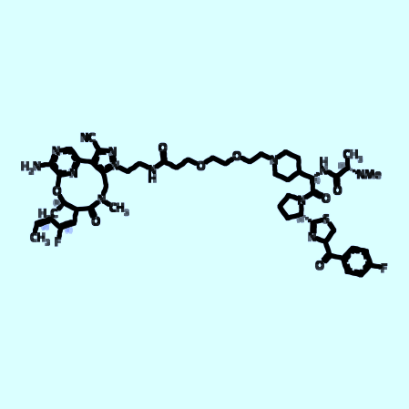 C/C=C\C(F)=C/C1C(=O)N(C)Cc2c(c(C#N)nn2CCNC(=O)CCOCCOCCN2CCC([C@H](NC(=O)[C@H](C)NC)C(=O)N3CCC[C@H]3C3=NC(C(=O)c4ccc(F)cc4)CS3)CC2)-c2cnc(N)c(n2)O[C@@H]1C